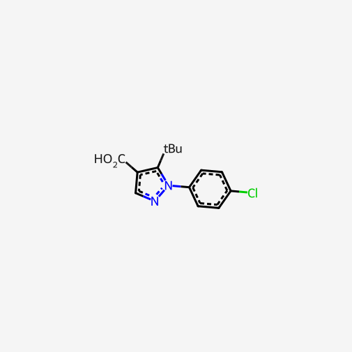 CC(C)(C)c1c(C(=O)O)cnn1-c1ccc(Cl)cc1